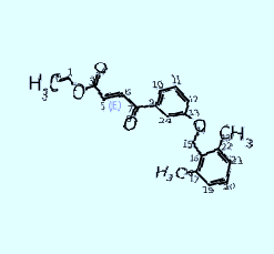 CCOC(=O)/C=C/C(=O)c1cccc(OCc2c(C)cccc2C)c1